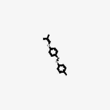 CC(C)=COc1ccc(N=Nc2ccc(C)cc2)cc1